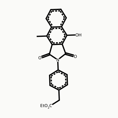 CCOC(=O)Cc1ccc(N2C(=O)c3c(c(O)c4ccccc4c3C)C2=O)cc1